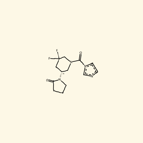 O=C1CCCN1[C@H]1CN(C(=O)n2ccnc2)CC(F)(F)C1